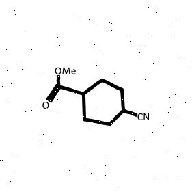 COC(=O)C1CCC(C#N)CC1